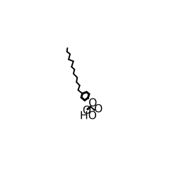 CCCCCCCCCCCCc1ccc(OC(=O)C(=O)O)cc1